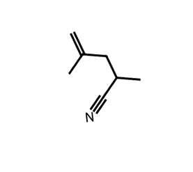 C=C(C)CC(C)C#N